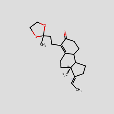 C/C=C1\CCC2C3CCC(=O)C(CCC4(C)OCCO4)=C3CC[C@@]12C